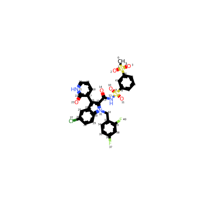 CS(=O)(=O)c1cccc(S(=O)(=O)NC(=O)c2c(-c3ccc[nH]c3=O)c3cc(Cl)ccc3n2Cc2ccc(F)cc2F)c1